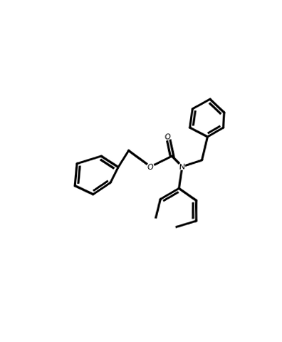 C/C=C\C(=C/C)N(Cc1ccccc1)C(=O)OCc1ccccc1